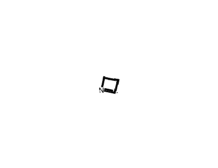 [C]1=NCC1